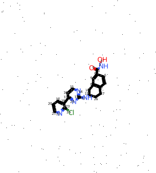 O=C(NO)c1ccc2c(c1)CC(Nc1nccc(-c3cccnc3Cl)n1)CC2